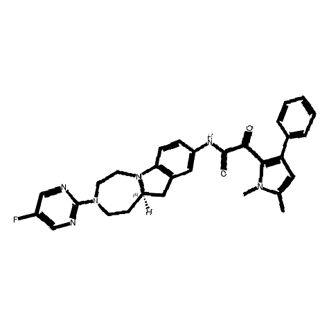 Cc1cc(-c2ccccc2)c(C(=O)C(=O)Nc2ccc3c(c2)C[C@H]2CCN(c4ncc(F)cn4)CCN32)n1C